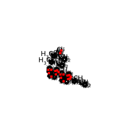 C1=CC[C]([Ti-]([C]2=CC=CC2)([c]2ccccc2)([c]2ccccc2)[SiH](c2ccccc2)c2ccccc2)=C1.C1=CC[C]([Ti-]([C]2=CC=CC2)([c]2ccccc2)([c]2ccccc2)[SiH](c2ccccc2)c2ccccc2)=C1.CC1=CC[C]([Ti+2][SiH2]Cc2ccccc2)=C1C.CC1=CC[C]([Ti+2][SiH2]Cc2ccccc2)=C1C.CC1=CC[C]([Ti+2][SiH2]Cc2ccccc2)=C1C.[Cl-].[Cl-].[Cl-].[Cl-]